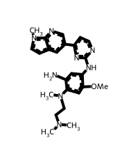 COc1cc(N(C)CCN(C)C)c(N)cc1Nc1nccc(-c2cnc3c(ccn3C)c2)n1